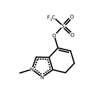 Cn1cc2c(n1)CCC=C2OS(=O)(=O)C(F)(F)F